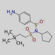 C[Si](C)(C)CCS(=O)(=O)N(C1CCCC1)[S+]([O-])c1ccc(N)cc1